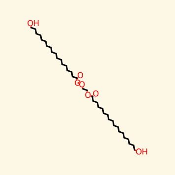 O=C(CCCCCCCCCCCCCCCCCO)OCCOOC(=O)CCCCCCCCCCCCCCCCCO